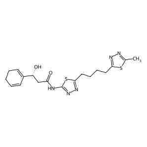 Cc1nnc(CCCCc2nnc(NC(=O)C[C@@H](O)C3=CCCC=C3)s2)s1